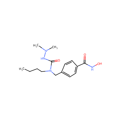 CCCCN(Cc1ccc(C(=O)NO)cc1)C(=O)NN(C)C